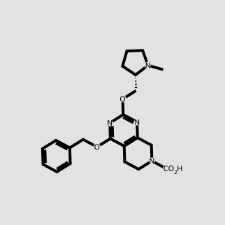 CN1CCC[C@H]1COc1nc2c(c(OCc3ccccc3)n1)CCN(C(=O)O)C2